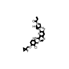 C=CC(=O)N1C[C@@H]2C[C@H]1CN2c1nc2c(Nc3ccc(OCC4(F)CC4)c(Cl)c3F)ncnc2cc1F